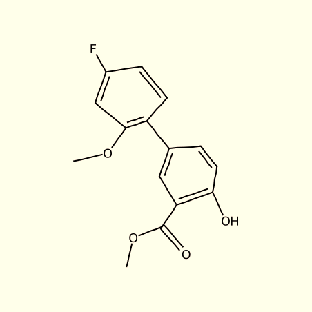 COC(=O)c1cc(-c2ccc(F)cc2OC)ccc1O